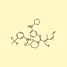 C=C/C=C\C(C)=C(/CF)C(=O)N1CCC[C@H](C(=O)Nc2cccc(C(C)(F)F)c2)[C@@H]1c1ccc(NC2CCCC2)cc1